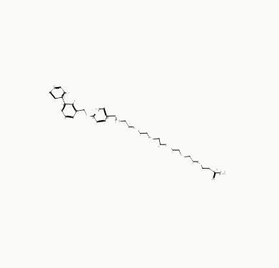 Cc1c(COc2ccc(CNCCOCCOCCOCCOCCOCCC(N)=O)cn2)cccc1-c1ccccc1